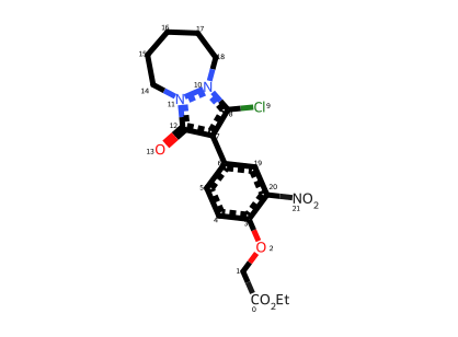 CCOC(=O)COc1ccc(-c2c(Cl)n3n(c2=O)CCCCC3)cc1[N+](=O)[O-]